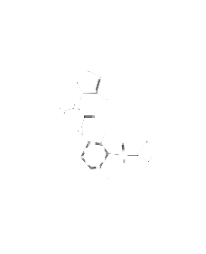 NN(C(=O)Nc1ccc(Cl)c(S(=O)(=O)C2COC2)c1O)C1CCC=C1Cl